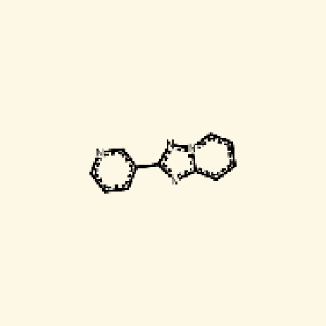 c1cncc(-c2nc3ccccn3n2)c1